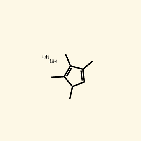 C[C]1C=C(C)C(C)=C1C.[LiH].[LiH]